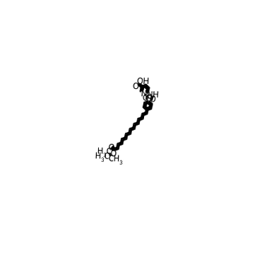 CC(C)(C)OC(=O)CCCCCCCCCCCCCCCc1ccc(S(=O)(=O)Nc2ccc(C(=O)O)cn2)cc1